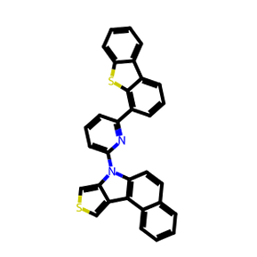 c1cc(-c2cccc3c2sc2ccccc23)nc(-n2c3cscc3c3c4ccccc4ccc32)c1